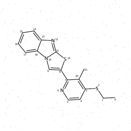 CCSc1ccnc(-c2cn3c(nc4ccccc43)s2)c1C